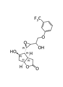 O=C1C[C@@H]2[C@@H]([C@H]3OC3C(O)COc3cccc(C(F)(F)F)c3)[C@H](O)C[C@@H]2O1